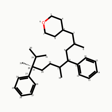 CC(CC1CCOCC1)CC(c1ccccc1)C(C)CC[C@@](C)(c1ccccc1)C(C)C